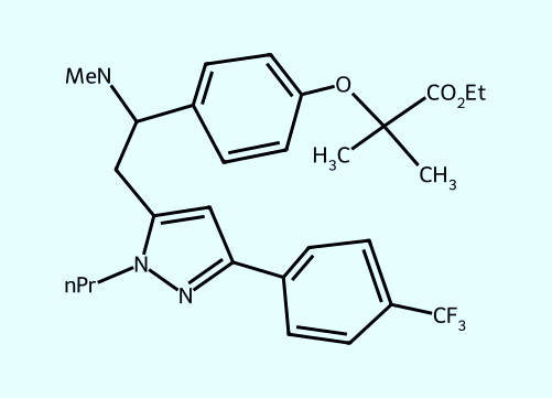 CCCn1nc(-c2ccc(C(F)(F)F)cc2)cc1CC(NC)c1ccc(OC(C)(C)C(=O)OCC)cc1